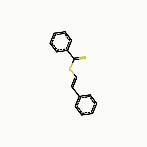 S=C(SC=Cc1ccccc1)c1ccccc1